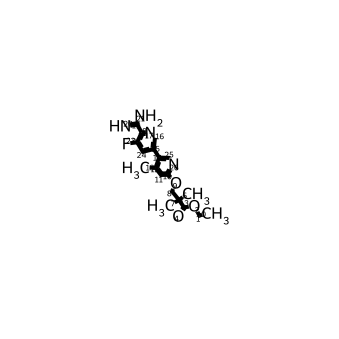 CCOC(=O)C(C)(C)COc1cc(C)c(-c2cnc(C(=N)N)c(F)c2)cn1